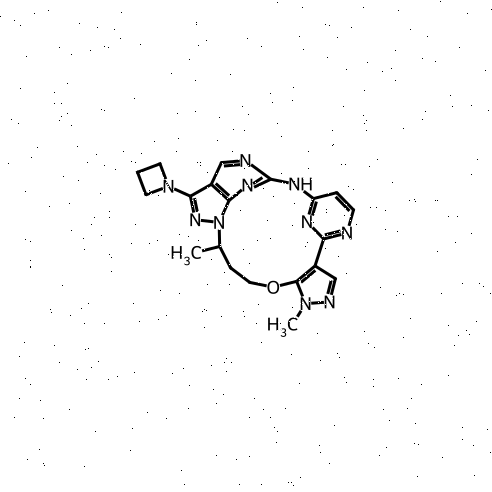 CC1CCOc2c(cnn2C)-c2nccc(n2)Nc2ncc3c(N4CCC4)nn1c3n2